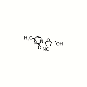 Cc1ccn([C@@H]2O[C@H](CO)C[C@@H]2C#N)c(=O)n1